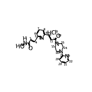 Cl.O=C(C=Cc1cccc(C=CC(=O)N2CCN(c3ccccn3)CC2)n1)NO